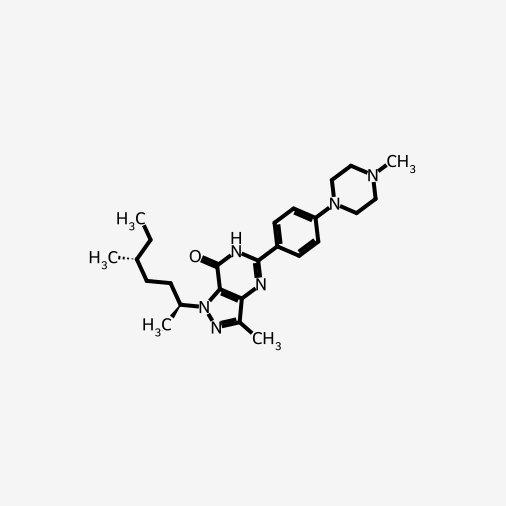 CC[C@@H](C)CC[C@H](C)n1nc(C)c2nc(-c3ccc(N4CCN(C)CC4)cc3)[nH]c(=O)c21